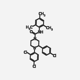 Cc1cc(C)c(NC(=O)N2CCN(c3ccc(Cl)cc3Cl)C(c3ccc(Cl)cc3)C2)c(C)c1